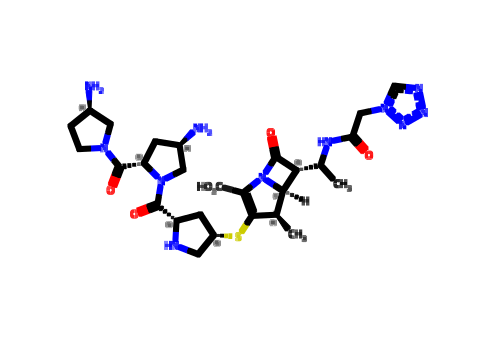 CC(NC(=O)Cn1cnnn1)[C@H]1C(=O)N2C(C(=O)O)=C(S[C@@H]3CN[C@H](C(=O)N4C[C@H](N)C[C@H]4C(=O)N4CC[C@@H](N)C4)C3)[C@H](C)[C@H]12